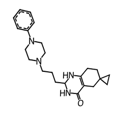 O=C1NC(CCCN2CCN(c3ccccc3)CC2)NC2=C1CC1(CC2)CC1